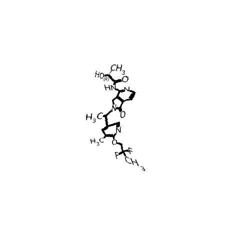 Cc1cc(C(C)N2Cc3c(ccnc3NC(=O)[C@@H](C)O)C2=O)cnc1OCC(C)(F)F